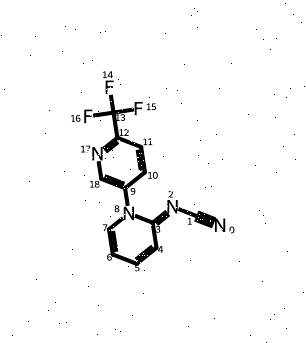 N#CN=c1ccccn1-c1ccc(C(F)(F)F)nc1